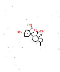 C=C1CC[C@H]2[C@H](C(=O)O)[C@@H]([C@]3(C)CC[C@H](O)C[C@H]3CO)CC[C@]12C